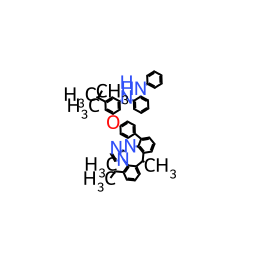 CC(C)c1cccc2c1-n1ccnc1-n1c3cc(Oc4cc(Nc5ccccc5Nc5ccccc5)cc(C(C)(C)C)c4)ccc3c3cccc(c31)C2C